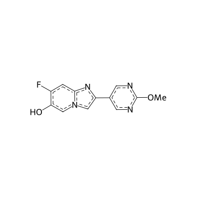 COc1ncc(-c2cn3cc(O)c(F)cc3n2)cn1